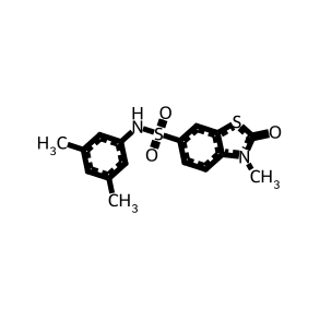 Cc1cc(C)cc(NS(=O)(=O)c2ccc3c(c2)sc(=O)n3C)c1